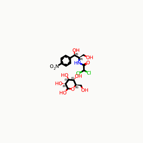 O=C(N[C@H](CO)[C@H](O)c1ccc([N+](=O)[O-])cc1)C(Cl)Cl.OC[C@H]1OC(O)[C@H](O)[C@@H](O)[C@@H]1O